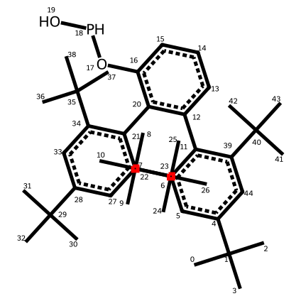 CC(C)(C)c1cc(C(C)(C)C)c(-c2cccc(OPO)c2-c2c(C(C)(C)C)cc(C(C)(C)C)cc2C(C)(C)C)c(C(C)(C)C)c1